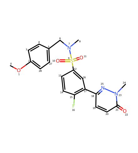 COc1ccc(CN(C)S(=O)(=O)c2ccc(F)c(-c3ccc(=O)n(C)n3)c2)cc1